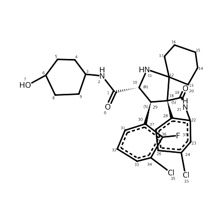 O=C(NC1CCC(O)CC1)[C@@H]1NC2(CCCCC2)[C@]2(C(=O)Nc3cc(Cl)ccc32)[C@H]1c1cccc(Cl)c1F